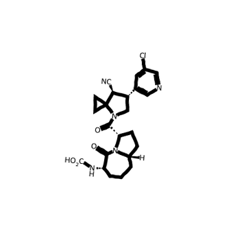 N#C[C@H]1[C@H](c2cncc(Cl)c2)CN(C(=O)[C@@H]2CC[C@@H]3CCC[C@H](NC(=O)O)C(=O)N32)C12CC2